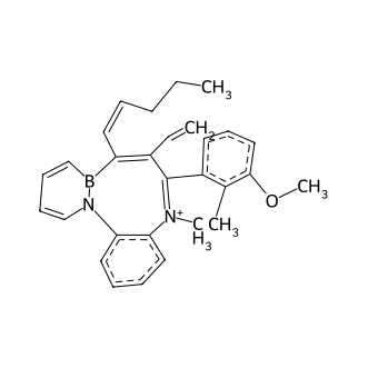 C=CC1=C(\C=C/CCC)B2C=CC=CN2c2ccccc2/[N+](C)=C\1c1cccc(OC)c1C